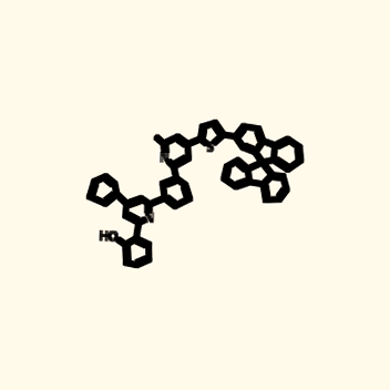 Cc1cc(-c2ccc(-c3ccc4c(c3)C3(c5ccccc5-c5ccccc53)c3ccccc3-4)s2)cc(-c2cccc(-c3cc(-c4ccccc4)cc(-c4ccccc4O)n3)c2)n1